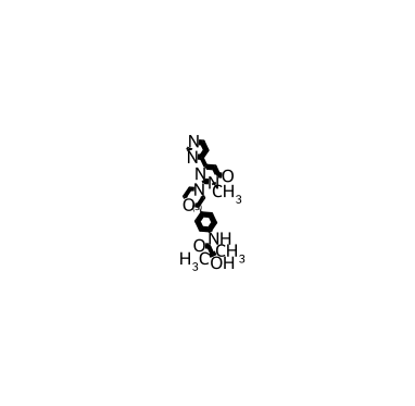 Cn1c(N2CCO[C@@H](c3ccc(NC(=O)C(C)(C)O)cc3)C2)nc(-c2ccncn2)cc1=O